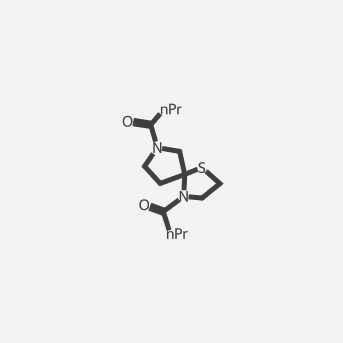 CCCC(=O)N1CCC2(C1)SCCN2C(=O)CCC